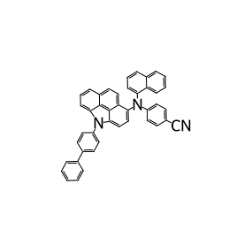 N#Cc1ccc(N(c2cccc3ccccc23)c2ccc3c4c2ccc2cccc(c24)n3-c2ccc(-c3ccccc3)cc2)cc1